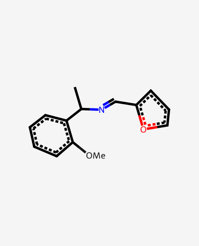 COc1ccccc1C(C)N=Cc1ccco1